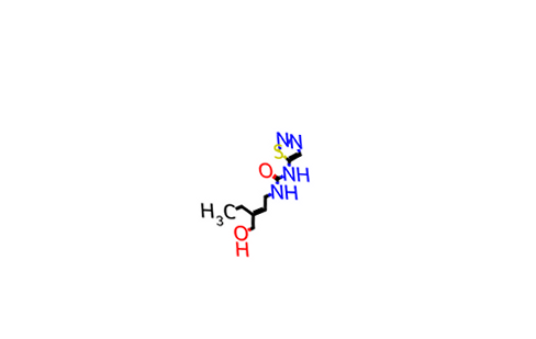 CC/C(=C\CNC(=O)Nc1cnns1)CO